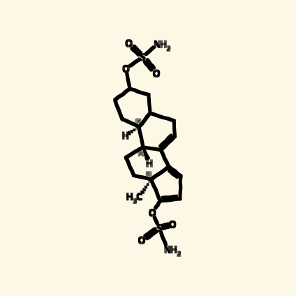 C[C@]12CC[C@H]3C(=CCC4CC(OS(N)(=O)=O)CC[C@@H]43)C1=CC=C2OS(N)(=O)=O